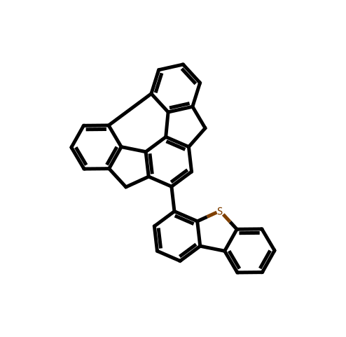 c1ccc2c(c1)sc1c(-c3cc4c5c6c(cccc6c6cccc7c6c5c3C7)C4)cccc12